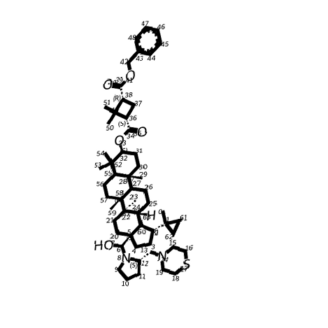 CC1([C@@H]2CC[C@]3(C(O)N4CCC[C@H]4CN4CCSCC4)CC[C@]4(C)[C@H](CCC5[C@@]6(C)CC[C@H](OC(=O)[C@H]7C[C@@H](C(=O)OCc8ccccc8)C7(C)C)C(C)(C)C6CC[C@]54C)C23)CC1